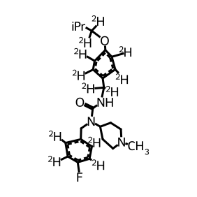 [2H]c1c([2H])c(CN(C(=O)NC([2H])([2H])c2c([2H])c([2H])c(OC([2H])([2H])C(C)C)c([2H])c2[2H])C2CCN(C)CC2)c([2H])c([2H])c1F